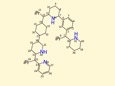 CC(C)C(c1cccc(C2CCCC(C(C(C)C)C3CCC(C4CCC(C(c5ccccn5)C(C)C)NC4)CC3)N2)c1)C1CCCCN1